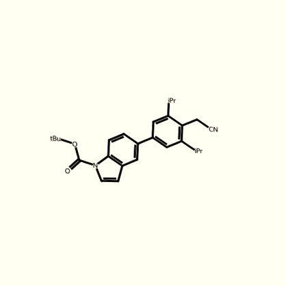 CC(C)c1cc(-c2ccc3c(ccn3C(=O)OC(C)(C)C)c2)cc(C(C)C)c1CC#N